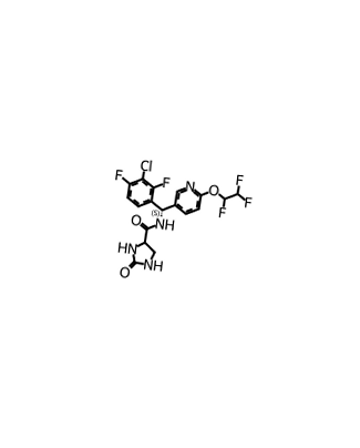 O=C1NCC(C(=O)N[C@@H](c2ccc(OC(F)C(F)F)nc2)c2ccc(F)c(Cl)c2F)N1